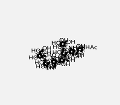 CC(=O)NC1[C@H](OC2C(O)[C@H](O)[C@@H](CO)O[C@@H]2O[C@@H]2C(O)[C@H](O[C@@H]3C(CO)O[C@@H](O[C@@H]4C(CO)O[C@@H](C)C(NC(C)=O)[C@H]4O)C(NC(C)=O)[C@H]3O)OC(CO[C@H]3OC(CO)[C@@H](O)[C@H](O)C3O)[C@H]2O)OC(CO)[C@@H](O[C@@H]2OC(CO[C@]3(OC=O)C[C@@H](O)[C@@H](C)C([C@H](O)[C@H](O)CO)O3)[C@H](O)[C@H](O)C2O)[C@@H]1O